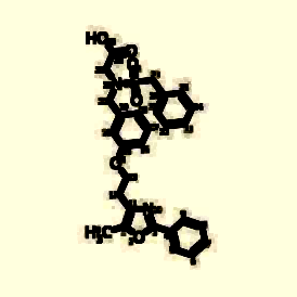 Cc1oc(-c2ccccc2)nc1CCOc1cccc(CN(CC(=O)O)S(=O)(=O)Cc2ccccc2)c1